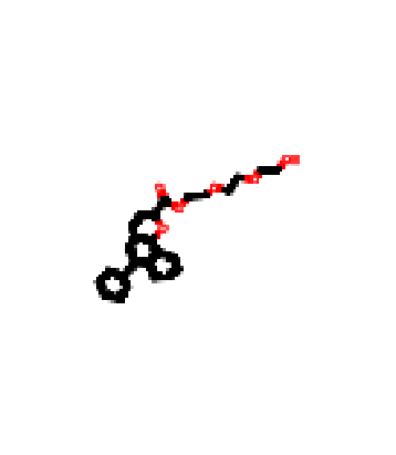 O=C(OCCOCCOCCO)C1C=Cc2cc(-c3ccccc3)c3ccccc3c2O1